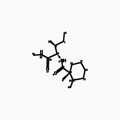 CC[C@H](C)[C@H](NC(=O)[C@]1(C)CCCCN1C)C(=O)NC